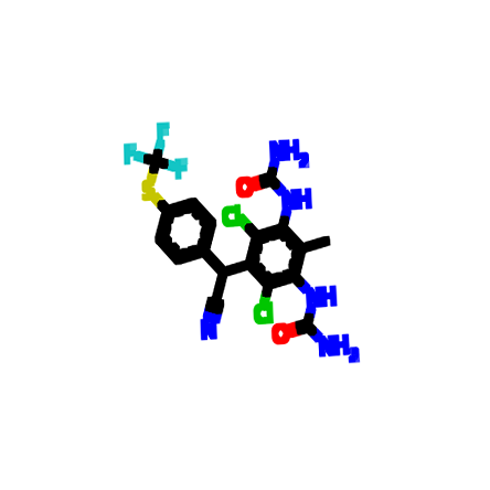 Cc1c(NC(N)=O)c(Cl)c(C(C#N)c2ccc(SC(F)(F)F)cc2)c(Cl)c1NC(N)=O